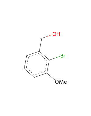 COc1cccc([CH]O)c1Br